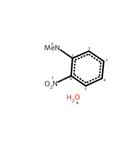 CNc1ccccc1[N+](=O)[O-].O